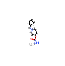 CC(C)(C)NC(=O)OC1CCCN(Cc2ccccc2)CC1